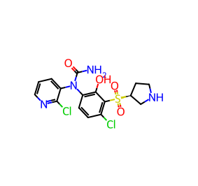 NC(=O)N(c1cccnc1Cl)c1ccc(Cl)c(S(=O)(=O)[C@H]2CCNC2)c1O